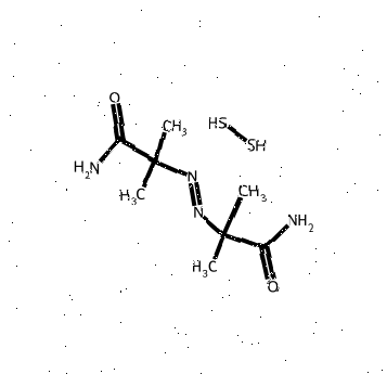 CC(C)(N=NC(C)(C)C(N)=O)C(N)=O.SS